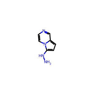 NNc1ccc2cnccn12